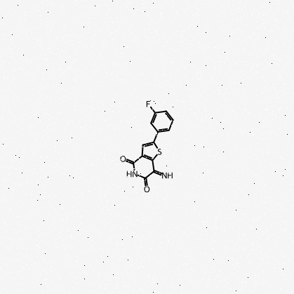 N=C1C(=O)NC(=O)c2cc(-c3cccc(F)c3)sc21